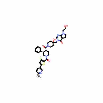 Cc1ccc(-c2cc(F)c(C(=O)N3CC[C@@H](C(=O)N4CCC(O)(Cn5cnc6c(ccn6CCO)c5=O)CC4)[C@H](c4ccccc4)C3)s2)cn1